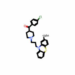 CSc1ccc2c(c1)N(CCCN1CCC(C(=O)c3ccc(Cl)cc3)CC1)c1ccccc1S2